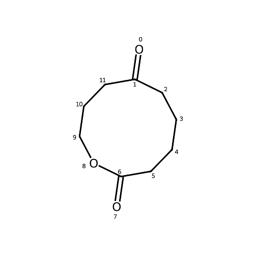 O=C1CCCCC(=O)OCCC1